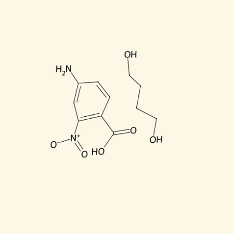 Nc1ccc(C(=O)O)c([N+](=O)[O-])c1.OCCCCO